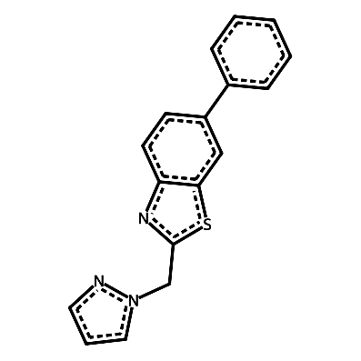 c1ccc(-c2ccc3nc(Cn4cccn4)sc3c2)cc1